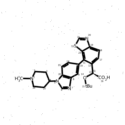 CN1CCC(n2cnc3cc(-c4c([C@H](OC(C)(C)C)C(=O)O)ccc5ncsc45)ccc32)CC1